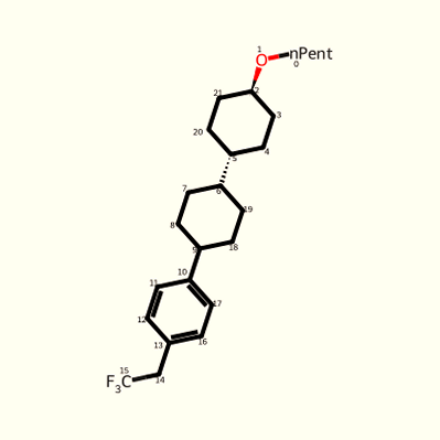 CCCCCO[C@H]1CC[C@H](C2CCC(c3ccc(CC(F)(F)F)cc3)CC2)CC1